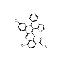 NC(=O)c1ccc(Cl)nc1Cc1c(-c2ncco2)n(-c2ccccc2)c2cc(Cl)ccc2c1=O